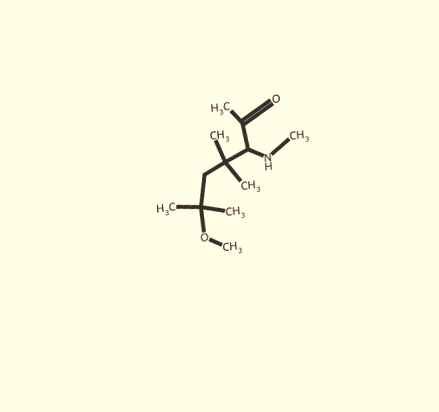 CNC(C(C)=O)C(C)(C)CC(C)(C)OC